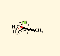 CCCCCCCCCC[Si](CC)(OC(C)C)OC(C)C.F